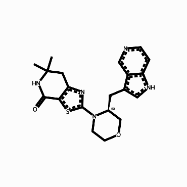 CC1(C)Cc2nc(N3CCOC[C@@H]3Cc3c[nH]c4ccncc34)sc2C(=O)N1